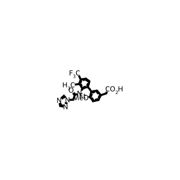 CCN(C(=O)Cn1cncn1)c1c(-c2cc(CC(=O)O)ccc2OC)ccc(C(F)(F)F)c1C